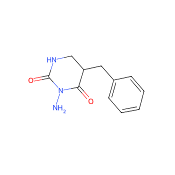 NN1C(=O)NCC(Cc2ccccc2)C1=O